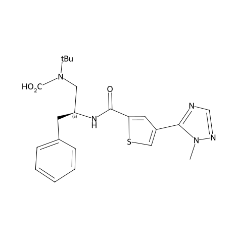 Cn1ncnc1-c1csc(C(=O)N[C@@H](Cc2ccccc2)CN(C(=O)O)C(C)(C)C)c1